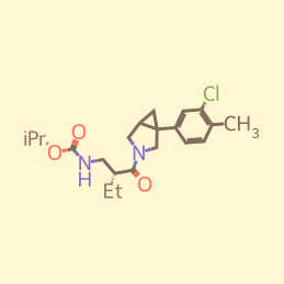 CC[C@H](CNC(=O)OC(C)C)C(=O)N1CC2CC2(c2ccc(C)c(Cl)c2)C1